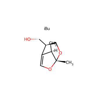 CC[C@H](C)[C@@H](O)[C@H]1CO[C@]2(C)OC=C1[C@H]2C